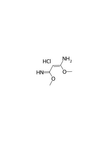 COC(=N)/C=C(/N)OC.Cl